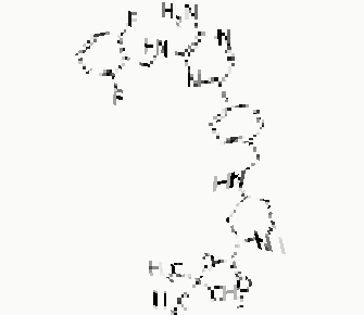 CC(C)(C)OC(=O)C1CC(NCc2ccc(-c3cnc(N)c(NCc4c(F)cccc4F)n3)cc2)CCN1